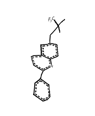 CC(C)(Cc1ccc2nc(-c3ccccc3)ccc2c1)C(F)(F)F